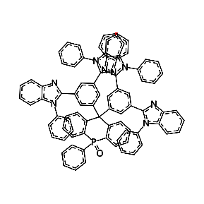 O=P1(c2ccccc2)c2ccccc2C(c2cc(-c3nc4ccccc4n3-c3ccccc3)cc(-c3nc4ccccc4n3-c3ccccc3)c2)(c2cc(-c3nc4ccccc4n3-c3ccccc3)cc(-c3nc4ccccc4n3-c3ccccc3)c2)c2ccccc21